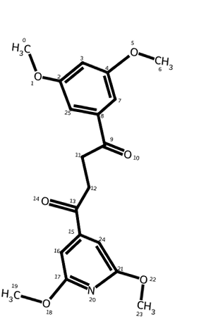 COc1cc(OC)cc(C(=O)CCC(=O)c2cc(OC)nc(OC)c2)c1